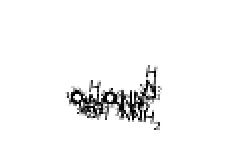 Nc1ncc(-c2cccc(C(=O)N[C@@H]3c4ccccc4C[C@@H]3O)c2)nc1C(=O)NC1CCCNC1